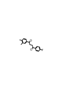 Cc1ccc(C(=O)CCC(=O)c2ccc(F)cc2)cc1C